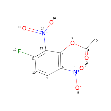 CC(=O)Oc1c([N+](=O)[O-])ccc(F)c1[N+](=O)[O-]